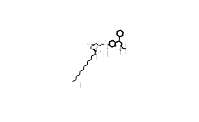 CCCCCCCCCCCCCC(=O)NC(CC#N)C(=O)Nc1ccc2c(-c3ccccc3)cc(C(F)(F)F)nc2c1